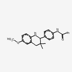 CC(C)C(=O)Nc1ccc(C2Nc3ccc(OC(=O)O)cc3CC2(C)C)cc1